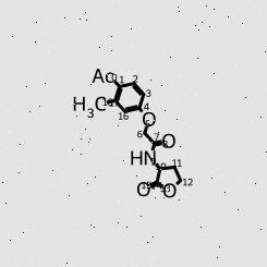 CC(=O)c1ccc(OCC(=O)NC2CCOC2=O)cc1C